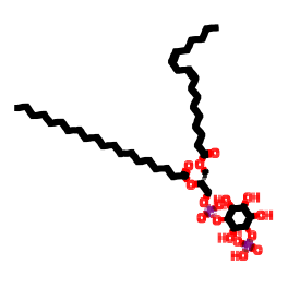 CCCCC/C=C\C/C=C\CCCCCCCC(=O)OC[C@H](COP(=O)(O)O[C@H]1C(O)C(O)C(O)[C@@H](OP(=O)(O)O)C1O)OC(=O)CCCCCCCCCCCCCCCCCCC